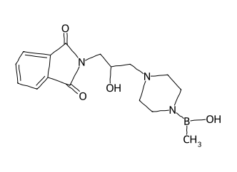 CB(O)N1CCN(CC(O)CN2C(=O)c3ccccc3C2=O)CC1